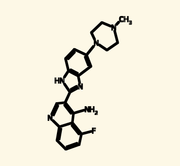 CN1CCN(c2ccc3[nH]c(-c4cnc5cccc(F)c5c4N)nc3c2)CC1